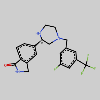 O=C1NCc2cc([C@@H]3CN(Cc4cc(F)cc(C(F)(F)F)c4)CCN3)ccc21